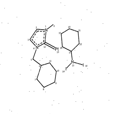 Cn1ccn(CC2CCCCC2)[c]1=[Pt].IN(I)C1CCCCC1